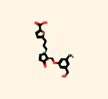 Cc1cc(CO)cc(OC[C@H]2C(=O)C=C[C@@H]2CCCc2ccc(C(=O)O)s2)c1